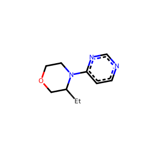 CCC1COCCN1c1ccncn1